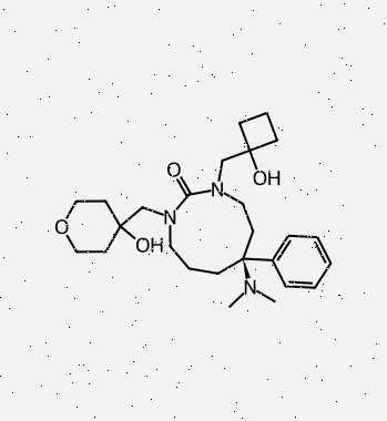 CN(C)[C@@]1(c2ccccc2)CCCN(CC2(O)CCOCC2)C(=O)N(CC2(O)CCC2)CC1